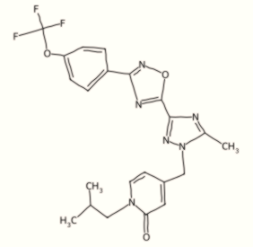 Cc1nc(-c2nc(-c3ccc(OC(F)(F)F)cc3)no2)nn1Cc1ccn(CC(C)C)c(=O)c1